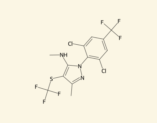 CNc1c(SC(F)(F)F)c(C)nn1-c1c(Cl)cc(C(F)(F)F)cc1Cl